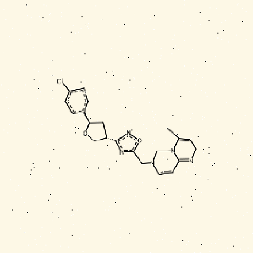 CC1=CCN=C2C=CN(Cc3nc([C@@H]4CO[C@@H](c5ccc(Cl)cc5)C4)no3)CN12